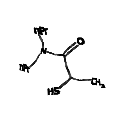 CCCN(CCC)C(=O)C(C)S